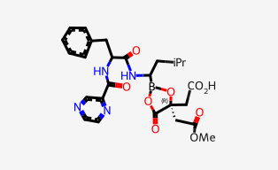 COC(=O)C[C@@]1(CC(=O)O)OB(C(CC(C)C)NC(=O)C(Cc2ccccc2)NC(=O)c2cnccn2)OC1=O